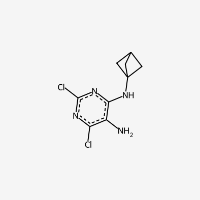 Nc1c(Cl)nc(Cl)nc1NC12CC(C1)C2